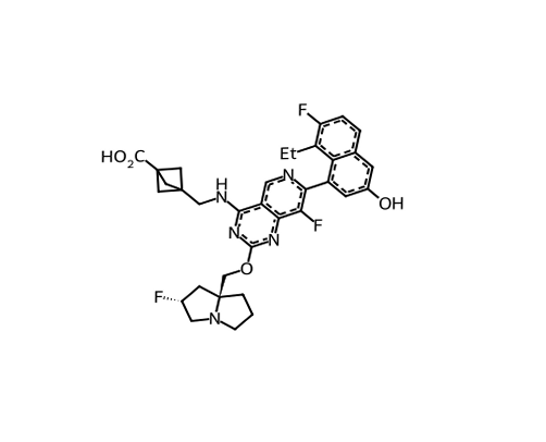 CCc1c(F)ccc2cc(O)cc(-c3ncc4c(NCC56CC(C(=O)O)(C5)C6)nc(OC[C@@]56CCCN5C[C@H](F)C6)nc4c3F)c12